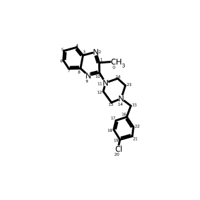 Cc1nc2ccccc2nc1N1CCN(Cc2ccc(Cl)cc2)CC1